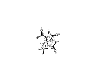 C[Si](C)(C)[O][Zn]([NH]C(=O)F)([NH]C(=O)F)[NH]C(=O)F